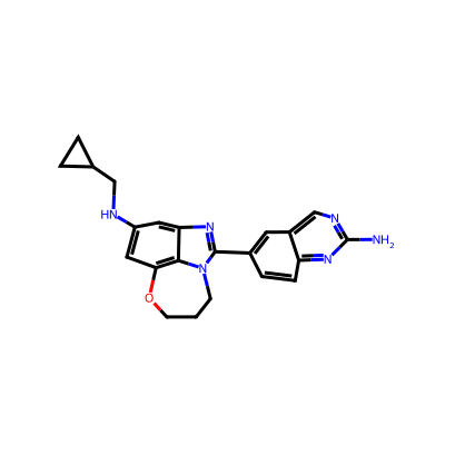 Nc1ncc2cc(-c3nc4cc(NCC5CC5)cc5c4n3CCCO5)ccc2n1